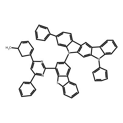 CC1C=CC=C(c2cc(-c3ccccc3)nc(-c3cc(-n4c5cc(-c6ccccc6)ccc5c5cc6c7ccccc7n(-c7ccccc7)c6cc54)cc4c3sc3ccccc34)n2)C1